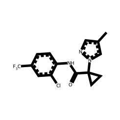 Cc1cnn(C2(C(=O)Nc3ccc(C(F)(F)F)cc3Cl)CC2)c1